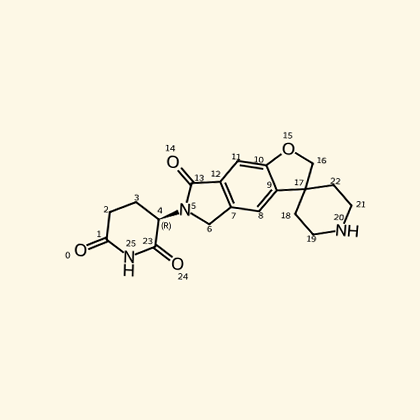 O=C1CC[C@@H](N2Cc3cc4c(cc3C2=O)OCC42CCNCC2)C(=O)N1